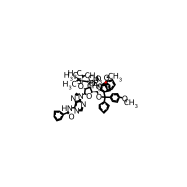 COc1ccc(C(OC[C@H]2O[C@@H](n3cnc4c(NC(=O)c5ccccc5)ncnc43)[C@H](O[Si](C(C)C)(C(C)C)C(C)C)[C@H]2O[PH](=O)Oc2ccccc2)(c2ccccc2)c2ccc(OC)cc2)cc1